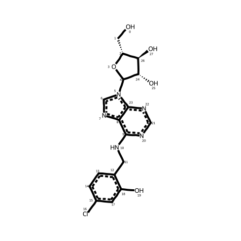 OC[C@H]1OC(n2cnc3c(NCc4ccc(Cl)cc4O)ncnc32)[C@@H](O)[C@@H]1O